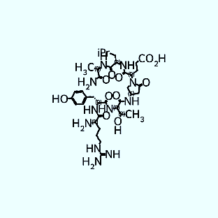 CC(C)C[C@@H](NC(=O)[C@@H](CCC(=O)O)N1C[C@@H](NC(=O)[C@H](NC(=O)[C@@H](Cc2ccc(O)cc2)NC(=O)[C@H](N)CCCNC(=N)N)[C@@H](C)O)CC1=O)C(=O)N[C@H](C)C(N)=O